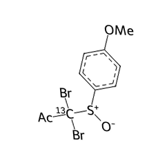 COc1ccc([S+]([O-])[13C](Br)(Br)C(C)=O)cc1